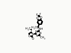 CC[C@H]1COC(=O)N1c1nc(C)nc(N[C@@H](C)c2ccc3c(c2)OC(F)(F)O3)n1